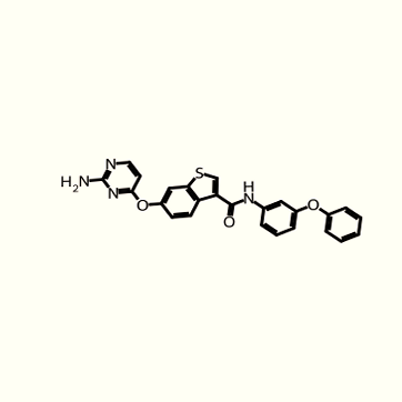 Nc1nccc(Oc2ccc3c(C(=O)Nc4cccc(Oc5ccccc5)c4)csc3c2)n1